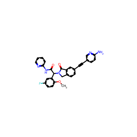 COc1ccc(F)cc1C(C(=O)Nc1ccccn1)N1Cc2ccc(C#Cc3ccc(N)nc3)cc2C1=O